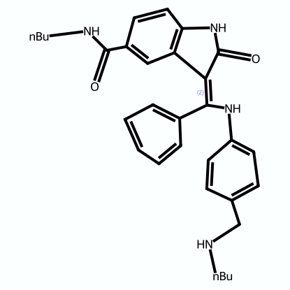 CCCCNCc1ccc(N/C(=C2\C(=O)Nc3ccc(C(=O)NCCCC)cc32)c2ccccc2)cc1